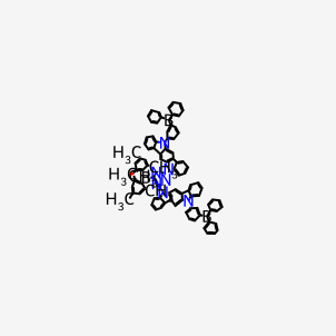 Cc1cc(C)c(B(c2nc(-n3c4ccccc4c4cc5c(cc43)c3ccccc3n5-c3cccc(B(c4ccccc4)c4ccccc4)c3)nc(-n3c4ccccc4c4cc5c(cc43)c3ccccc3n5-c3cccc(B(c4ccccc4)c4ccccc4)c3)n2)c2c(C)cc(C)cc2C)c(C)c1